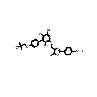 [C-]#[N+]c1c(N)nc(SCc2nc(-c3ccc(C(=O)O)cc3)oc2C)c(C#N)c1-c1ccc(OCC(C)(C)O)cc1